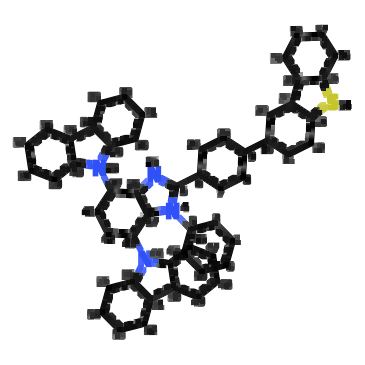 c1ccc(-n2c(-c3ccc(-c4ccc5sc6ccccc6c5c4)cc3)nc3c(-n4c5ccccc5c5ccccc54)ccc(-n4c5ccccc5c5ccccc54)c32)cc1